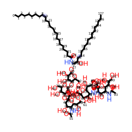 CCCCCCCC/C=C\CCCCCCCCCCCCCC(=O)N[C@@H](CO[C@@H]1OC(CO)[C@@H](O[C@@H]2OC(CO)[C@H](O)[C@H](O[C@]3(C(=O)O)CC(O)[C@@H](NC(C)=O)C([C@H](O)[C@@H](CO)O[C@]4(C(=O)O)CC(O)[C@@H](NC(C)=O)C([C@H](O)[C@@H](CO)O[C@]5(C(=O)O)CC(O)[C@@H](NC(C)=O)C([C@H](O)[C@H](O)CO)O5)O4)O3)C2O)[C@H](O)C1O)[C@H](O)/C=C/CCCCCCCCCCCCC